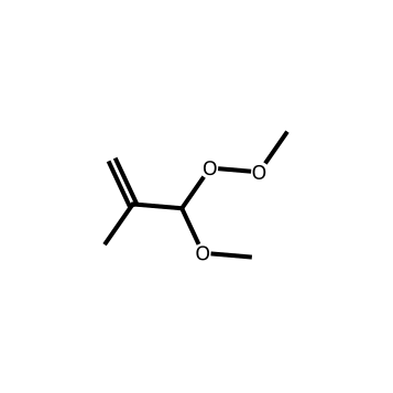 C=C(C)C(OC)OOC